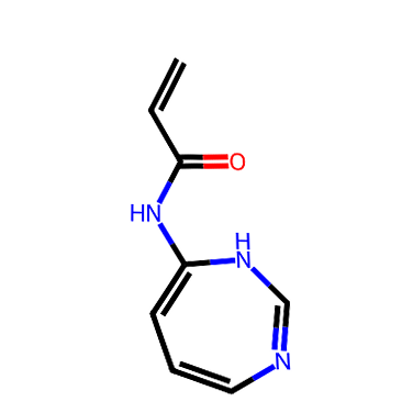 C=CC(=O)NC1=CC=CN=CN1